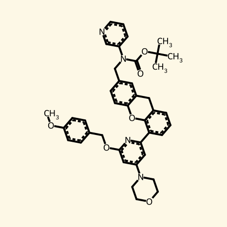 COc1ccc(COc2cc(N3CCOCC3)cc(-c3cccc4c3Oc3ccc(CN(C(=O)OC(C)(C)C)c5cccnc5)cc3C4)n2)cc1